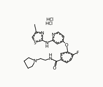 Cc1csc(Nc2cc(Oc3cc(C(=O)NCCN4CCCC4)ccc3F)ccn2)n1.Cl.Cl